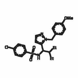 CCC(CC)C(NS(=O)(=O)c1ccc(Cl)cc1)c1ccnn1Cc1ccc(OC)cc1